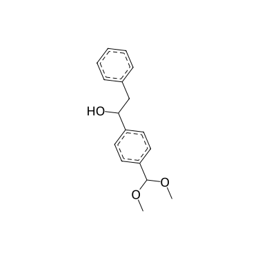 COC(OC)c1ccc(C(O)Cc2ccccc2)cc1